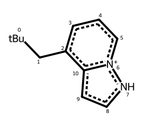 CC(C)(C)Cc1ccc[n+]2[nH]ccc12